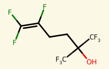 OC(CCC(F)=C(F)F)(C(F)(F)F)C(F)(F)F